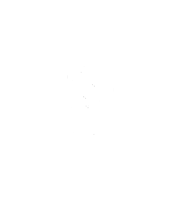 CC1(C)OB(c2ccc(Cl)c3c(NS(=O)(=O)C4(C)CC4)nn(CC(F)F)c23)OC1(C)C